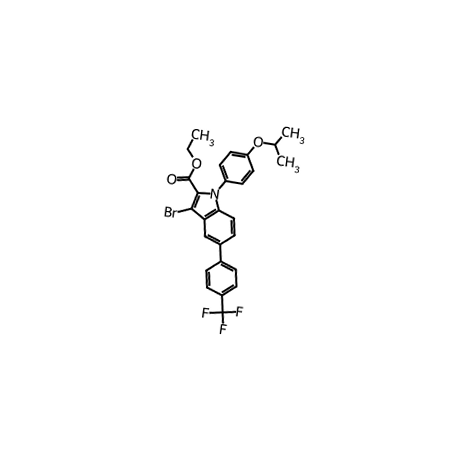 CCOC(=O)c1c(Br)c2cc(-c3ccc(C(F)(F)F)cc3)ccc2n1-c1ccc(OC(C)C)cc1